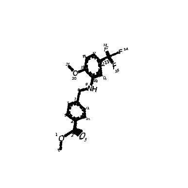 COC(=O)c1ccc(CNc2cc(C(F)(F)F)ccc2OC)cc1